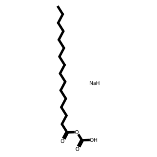 CCCCCCCCCCCCCCCC(=O)OC(=O)O.[NaH]